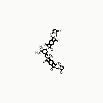 CC1(C)CC(n2c(=O)c3cc4c(=O)n(CN5C(=O)C=CC5=O)c(=O)c4cc3c2=O)CC(C)(Cn2c(=O)c3cc4c(=O)n(CN5C(=O)C=CC5=O)c(=O)c4cc3c2=O)C1